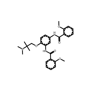 COc1ccccc1C(=O)Nc1ccc(OCC(C)(C)N(C)C)c(NC(=O)c2ccccc2OC)c1